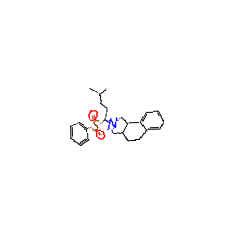 CC(C)CCC(N1CC2CCc3ccccc3C2C1)S(=O)(=O)c1ccccc1